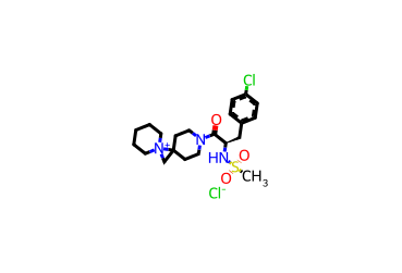 CS(=O)(=O)N[C@H](Cc1ccc(Cl)cc1)C(=O)N1CCC2(CC1)C[N+]21CCCCC1.[Cl-]